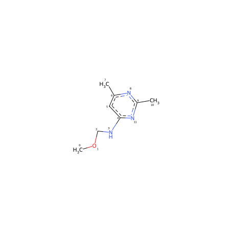 COCNc1cc(C)nc(C)n1